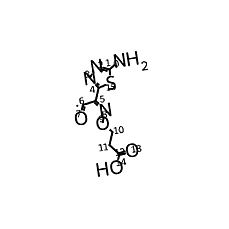 Nc1nnc(C([C]=O)=NOCCC(=O)O)s1